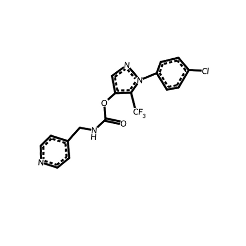 O=C(NCc1ccncc1)Oc1cnn(-c2ccc(Cl)cc2)c1C(F)(F)F